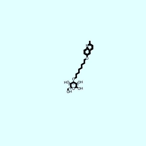 Cc1ccc2cc(OCCCCCCCCO[C@H]3[C@H](O)[C@@H](CO)OC(O)[C@@H]3O)ccc2n1